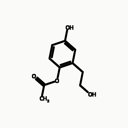 CC(=O)Oc1ccc(O)cc1CCO